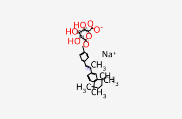 C/C(=C\c1ccc(CO[C@@H]2O[C@H](C(=O)[O-])[C@@H](O)[C@H](O)[C@H]2O)cc1)c1ccc2c(c1)C(C)(C)CCC2(C)C.[Na+]